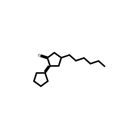 CCCCCCC1CC(=O)C(=C2CCCC2)C1